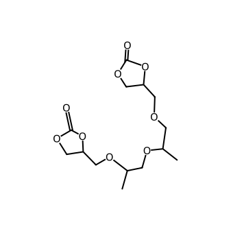 CC(COCC1COC(=O)O1)OCC(C)OCC1COC(=O)O1